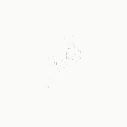 C=CC(=O)Nc1cc(Nc2cc(N3OCCC3c3cccc(C(F)(F)F)c3)ncn2)c(OC)cc1N1CCC(N2CCN(C3CC3)C(C)C2)CC1